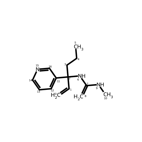 C=CC(CCC)(NC(=C)NC)c1cccnc1